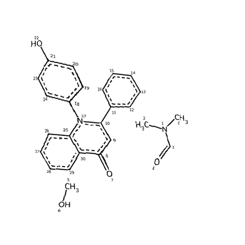 CN(C)C=O.CO.O=c1cc(-c2ccccc2)n(-c2ccc(O)cc2)c2ccccc12